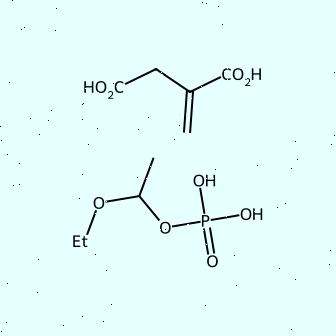 C=C(CC(=O)O)C(=O)O.CCOC(C)OP(=O)(O)O